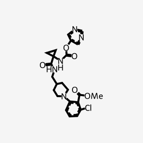 COC(=O)c1c(Cl)cccc1N1CCC(CNC(=O)C2(NC(=O)Oc3cncnc3)CC2)CC1